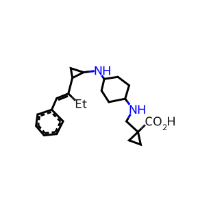 CC/C(=C\c1ccccc1)C1CC1NC1CCC(NCC2(C(=O)O)CC2)CC1